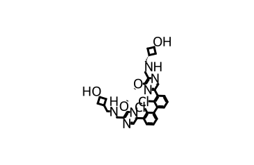 COc1nc(-c2cccc(-c3cccc(-c4cnc(CNC[C@H]5C[C@@H](O)C5)c(OC)n4)c3Cl)c2Cl)cnc1CNCC1CC(O)C1